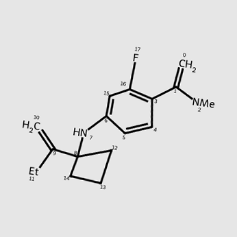 C=C(NC)c1ccc(NC2(C(=C)CC)CCC2)cc1F